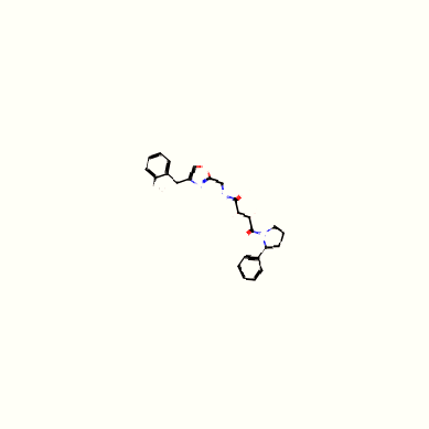 COc1ccccc1Cc1coc(CNC(=O)[C@H](O)[C@@H](O)C(=O)N2CCCC2c2ccccc2)n1